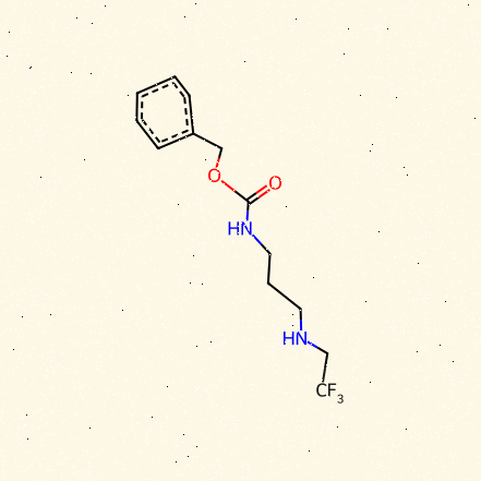 O=C(NCCCNCC(F)(F)F)OCc1ccccc1